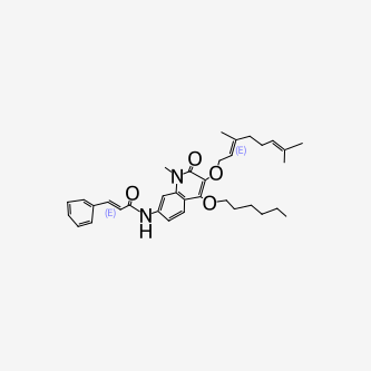 CCCCCCOc1c(OC/C=C(\C)CCC=C(C)C)c(=O)n(C)c2cc(NC(=O)/C=C/c3ccccc3)ccc12